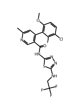 COc1ccc(Cl)c(F)c1-c1cc(C)ncc1C(=O)Nc1nnc(NCC(F)(F)F)s1